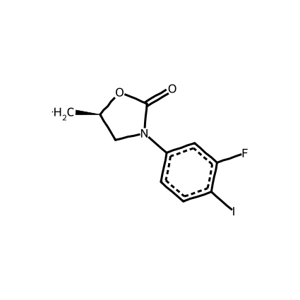 [CH2][C@@H]1CN(c2ccc(I)c(F)c2)C(=O)O1